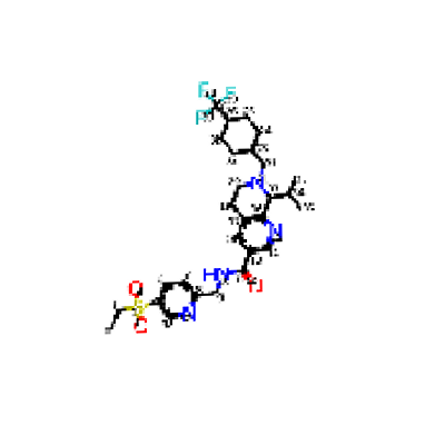 CCS(=O)(=O)c1ccc(CNC(=O)c2cnc3c(c2)CCN(CC2CCC(C(F)(F)F)CC2)C3C(C)C)nc1